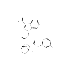 NC(=O)c1nn(CC(=O)N2[C@@H]3CC[C@@H](C3)[C@H]2C(=O)Nc2cc(Cl)ccn2)c2ccccc12